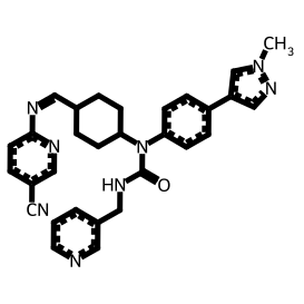 Cn1cc(-c2ccc(N(C(=O)NCc3cccnc3)C3CCC(/C=N\c4ccc(C#N)cn4)CC3)cc2)cn1